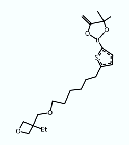 C=C1OB(c2ccc(CCCCCCOCC3(CC)COC3)s2)OC1(C)C